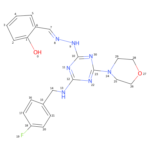 Oc1ccccc1C=NNc1nc(NCc2ccc(F)cc2)nc(N2CCOCC2)n1